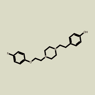 Oc1ccc(CCN2CCN(CCOc3ccc(F)cc3)CC2)cc1